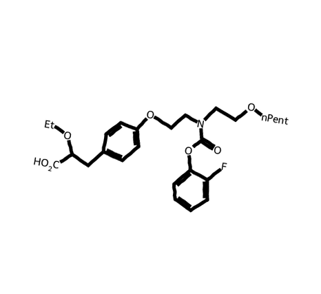 CCCCCOCCN(CCOc1ccc(CC(OCC)C(=O)O)cc1)C(=O)Oc1ccccc1F